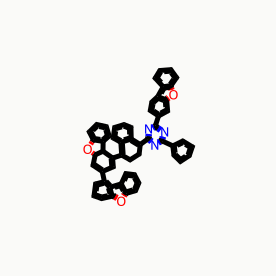 C1=C(c2cccc3oc4ccccc4c23)C=C(C2=c3ccccc3=C(c3nc(-c4ccccc4)nc(-c4ccc5c(c4)oc4ccccc45)n3)CC2)C2c3ccccc3OC12